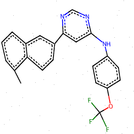 Cc1cccc2cc(-c3cc(Nc4ccc(OC(F)(F)F)cc4)ncn3)ccc12